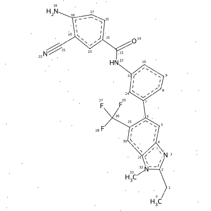 CCc1nc2cc(-c3cccc(NC(=O)c4ccc(N)c(C#N)c4)c3)c(C(F)(F)F)cc2n1C